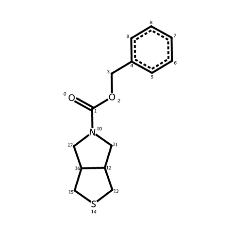 O=C(OCc1ccccc1)N1CC2CSCC2C1